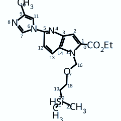 CCOC(=O)c1cc2nc(-n3cnc(C)c3)ccc2n1COCC[SiH](C)C